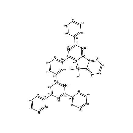 C[Si]1(C)c2ccccc2-c2nc(-c3ccccc3)nc(-c3cccc(-c4cc(-c5ccccc5)nc(-c5ccccc5)n4)c3)c21